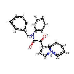 O=C(C(=O)N(Cc1ccccc1)c1ccccc1)c1ccn2ccccc12